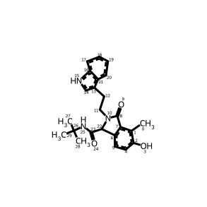 Cc1c(O)ccc2c1C(=O)N(CCc1c[nH]c3ccccc13)C2C(=O)NC(C)(C)C